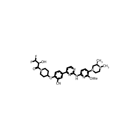 COc1nc(Nc2nccc(-c3ccc(OC4CCN(C(=O)[C@H](O)C(F)F)CC4)c(C#N)c3)n2)ccc1N1CCN(C)[C@H](C)C1